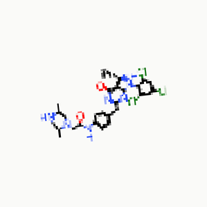 CC1CN(CC(=O)Nc2ccc(Cc3nc4n(-c5c(Cl)cc(Cl)cc5Cl)[nH]c(C(C)C)c-4c(=O)n3)cc2)C(C)CN1